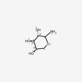 NC1OC[C@@H](O)[C@@H](O)[C@@H]1O